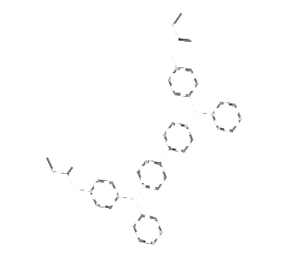 C=CC(=O)Oc1ccc(N(c2ccccc2)c2ccc(-c3ccc(N(c4ccccc4)c4ccc(OC(=O)C=C)cc4)cc3)cc2)cc1